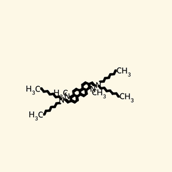 CCCCCCCCN(CCCCCCCC)c1cc2ccc3c4ccc5c(ccc6cc(N(CCCCCCCC)CCCCCCCC)n(C)c65)c4ccc3c2n1C